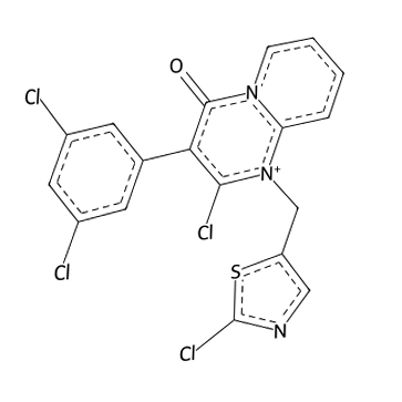 O=c1c(-c2cc(Cl)cc(Cl)c2)c(Cl)[n+](Cc2cnc(Cl)s2)c2ccccn12